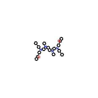 c1ccc(-c2ccc(N(c3ccc(-c4cc5ccccc5o4)cc3)c3ccc4c5c6ccc7c(c6ccc5n(-c5ccccc5)c4c3)c3ccc(N(c4ccc(-c5ccccc5)cc4)c4ccc(-c5cc6ccccc6o5)cc4)cc3n7-c3ccccc3)cc2)cc1